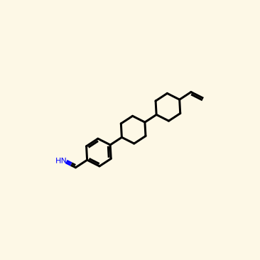 C=CC1CCC(C2CCC(c3ccc(C=N)cc3)CC2)CC1